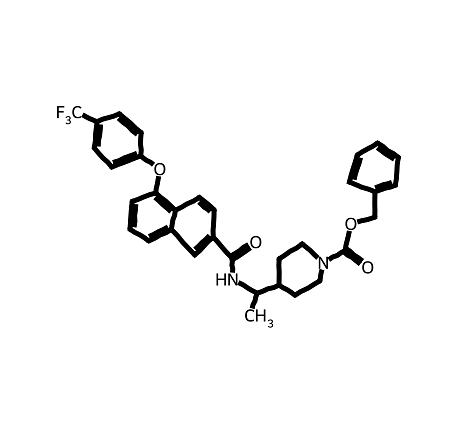 CC(NC(=O)c1ccc2c(Oc3ccc(C(F)(F)F)cc3)cccc2c1)C1CCN(C(=O)OCc2ccccc2)CC1